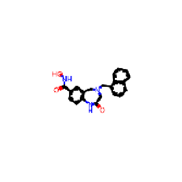 O=C1CN(Cc2cccc3ccccc23)Cc2cc(C(=O)NO)ccc2N1